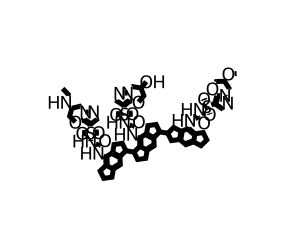 CCNC1COc2c(S(=O)(=O)NC(=O)Nc3c4c(cc5c3CCC5C3CCc5cc6c(c(NC(=O)NS(=O)(=O)c7cnn8c7OCC(O)C8)c53)CCC6C3Cc5cc6c(c(NC(=O)NS(=O)(=O)c7cnn8c7OC[C@H](OC)C8)c5C3)CCC6)CCC4)cnn2C1